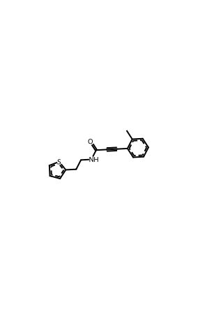 Cc1ccccc1C#CC(=O)NCCc1cccs1